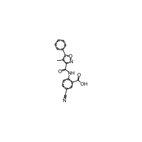 Cc1c(C(=O)Nc2ccc(C#N)cc2C(=O)O)noc1-c1ccccc1